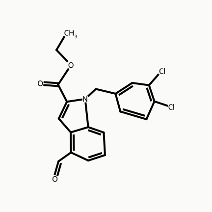 CCOC(=O)c1cc2c(C=O)cccc2n1Cc1ccc(Cl)c(Cl)c1